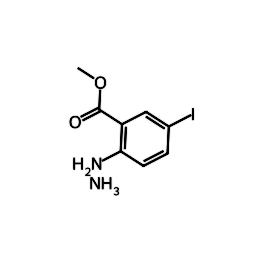 COC(=O)c1cc(I)ccc1N.N